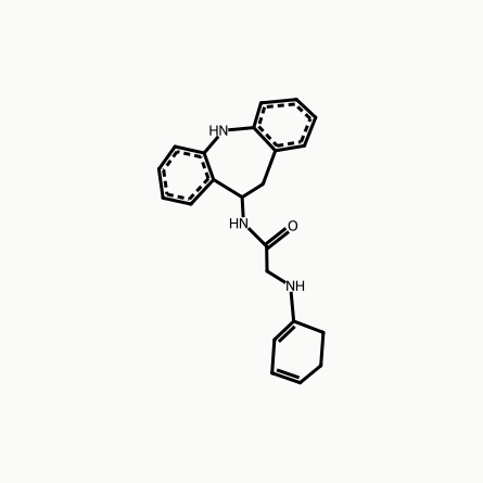 O=C(CNC1=CC=CCC1)NC1Cc2ccccc2Nc2ccccc21